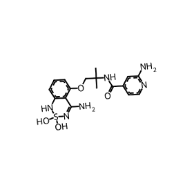 CC(C)(COc1cccc2c1C(N)=NS(O)(O)N2)NC(=O)c1ccnc(N)c1